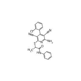 CC(Sc1nc(N)c(C#N)c(-c2ccccc2Cl)c1C#N)C(=O)Nc1ccccc1